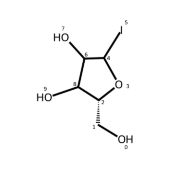 OC[C@H]1OC(I)C(O)C1O